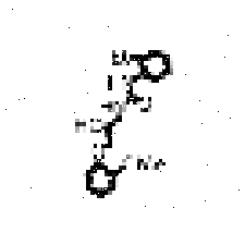 CCc1ccccc1NC(=O)NCC(O)COc1ccccc1OC